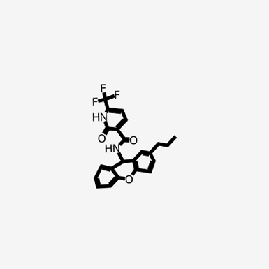 CCCc1ccc2c(c1)C(NC(=O)c1ccc(C(F)(F)F)[nH]c1=O)c1ccccc1O2